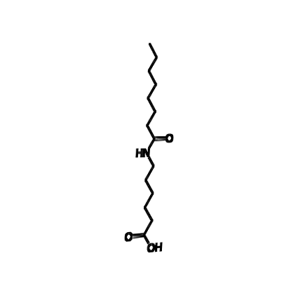 CCCCCCCC(=O)NCCCCCC(=O)O